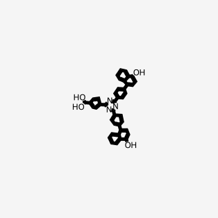 Oc1ccc(-c2ccc(-c3nc(-c4ccc(-c5ccc(O)c6ccccc56)cc4)nc(-c4ccc(C(O)O)cc4)n3)cc2)c2ccccc12